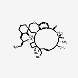 C=C1/C(=C\C(Cl)=C/C)CCC[C@]12COc1ccc3cc1N(C[C@@H]1CC[C@H]1[C@@](O)(CC#N)/C=C/C[C@H](C)[C@@H](C)S(=O)(=O)NC3=O)C2